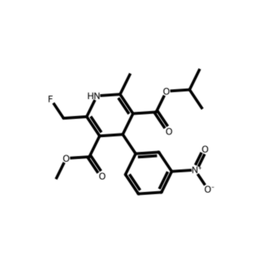 COC(=O)C1=C(CF)NC(C)=C(C(=O)OC(C)C)C1c1cccc([N+](=O)[O-])c1